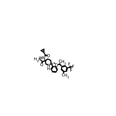 Cc1cc([C@@H](C)OC[C@@]2(c3ccccc3)CC[C@@](NC(=O)C3CC3)(C(N)=O)CN2)cc(C(F)(F)F)c1